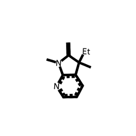 C=C1N(C)c2ncccc2C1(C)CC